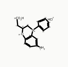 Cl.Nc1ccc2c(c1)N(c1ccccc1)CC(CC(=O)O)O2